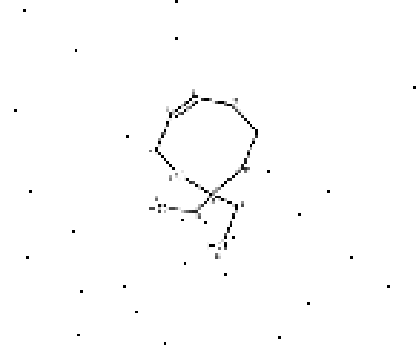 OCC1(CO)CC/C=C\CCC1